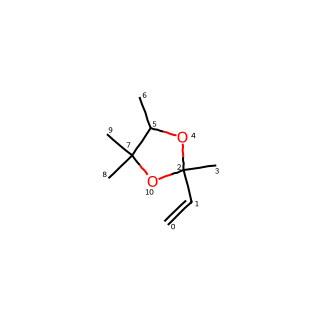 C=CC1(C)OC(C)C(C)(C)O1